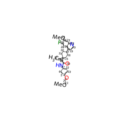 COCCOc1ccc(NC(=O)[C@H]2[C@H](C)C23CCC(c2ccnc4cc(OC)c(F)cc24)CC3)cc1